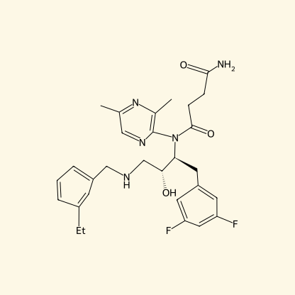 CCc1cccc(CNC[C@@H](O)[C@H](Cc2cc(F)cc(F)c2)N(C(=O)CCC(N)=O)c2ncc(C)nc2C)c1